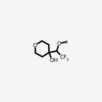 OC1(C(OI)C(F)(F)F)CCOCC1